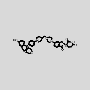 O=C1CC[C@H](N2Cc3cc(N4CCN(CC5CCN(c6ccc([C@@H]7c8ccc(O)cc8CCC78CCOCC8)cc6)CC5)CC4)ccc3C2=O)C(=O)N1